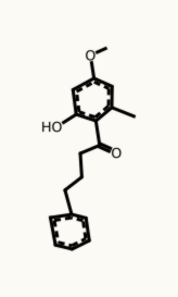 COc1cc(C)c(C(=O)CCCc2ccccc2)c(O)c1